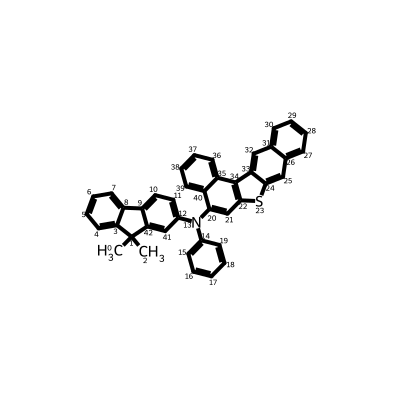 CC1(C)c2ccccc2-c2ccc(N(c3ccccc3)c3cc4sc5cc6ccccc6cc5c4c4ccccc34)cc21